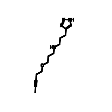 CC#CCCOCCCNCCCc1c[nH]nn1